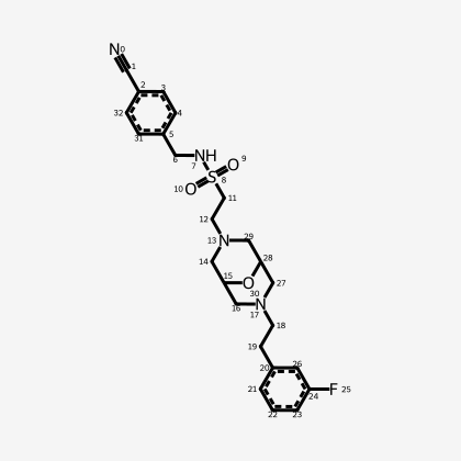 N#Cc1ccc(CNS(=O)(=O)CCN2CC3CN(CCc4cccc(F)c4)CC(C2)O3)cc1